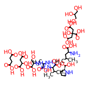 CC(C)C(N)C(=O)O.CC(C)CC(N)C(=O)O.CC(N)C(=O)O.NC(CO)C(=O)O.O=C(O)CC(O)(CC(=O)O)C(=O)O.O=C(O)CC(O)C(=O)O.O=C(O)CCC(=O)O.O=C(O)[C@@H]1CCCN1.OCC(O)CO